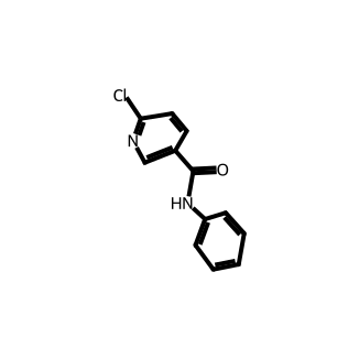 O=C(Nc1ccccc1)c1ccc(Cl)nc1